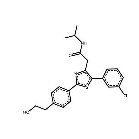 CC(C)NC(=O)Cc1nc(-c2ccc(CCO)cc2)sc1-c1cccc(Cl)c1